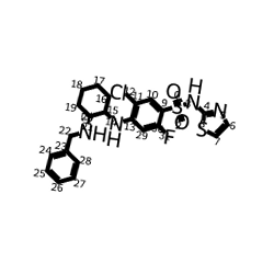 O=S(=O)(Nc1nccs1)c1cc(Cl)c(NC2CCCC[C@@H]2NCc2ccccc2)cc1F